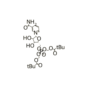 CC(C)(C)C(=O)OCOP(=O)(OCOC(=O)C(C)(C)C)OC[C@H]1O[C@@H]([n+]2cccc(C(N)=O)c2)C(O)C1O